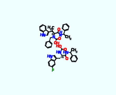 CC(NC(=O)[C@H](C(C)c1c[nH]c2ccccc12)N(Cc1ccccc1)C(=O)O)c1ccccc1.CC(NC(=O)[C@H](Cc1c[nH]c2ccc(F)cc12)NC(=O)O)c1ccccc1